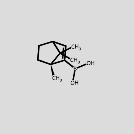 CC1(C)C2C=C(B(O)O)[C@]1(C)CC2